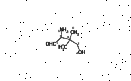 CC(C)(CO)C(N)C=O